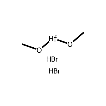 Br.Br.C[O][Hf][O]C